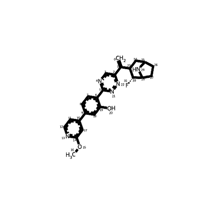 C=C(c1cnc(-c2ccc(-c3ccnc(OC)c3)cc2O)nn1)C1CC2CCC(N2)[C@@H]1F